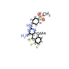 COc1ccc(F)c(F)c1C(=S)c1cnc(NC2=CCC(S(C)(=O)=O)C=C2)nc1N